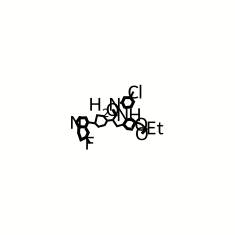 CCC(=O)Oc1ccc(CC(C(=O)Nc2ccc(Cl)cc2N)C2CCC(c3ccnc4ccc(F)cc34)CC2)cc1